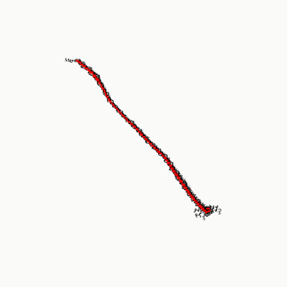 COCCOCCOCCOCCOCCOCCOCCOCCOCCOCCOCCOCCOCCOCCOCCOCCOCCOCCOCCOCCOCCOCCOCCOCCOCCOCCOCCOCCOCCOCCOCCOCCOCCOCCOCCOCCOCCOCCOCCOCCOCCOCCOCCOCCOCCN(CP(C)(C)=O)CP(C)(C)=O